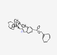 C/C(C=CC12CC1(C)CCCC2(C)C)=C\c1ccc(C(=O)OCc2ccccc2)cc1